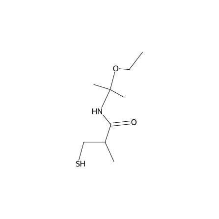 CCOC(C)(C)NC(=O)C(C)CS